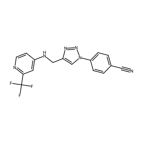 N#Cc1ccc(-n2cc(CNc3ccnc(C(F)(F)F)c3)nn2)cc1